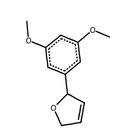 COc1cc(OC)cc(C2C=CCO2)c1